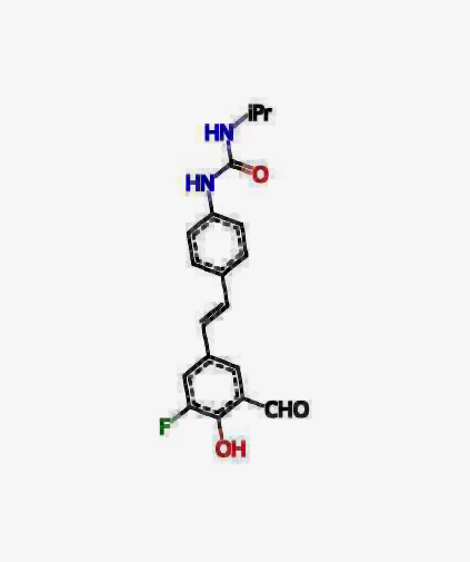 CC(C)NC(=O)Nc1ccc(/C=C/c2cc(F)c(O)c(C=O)c2)cc1